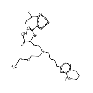 CCOCCN(CCCCc1ccc2c(n1)NCCC2)CC[C@H](NC(=O)c1cccnc1C(F)F)C(=O)O